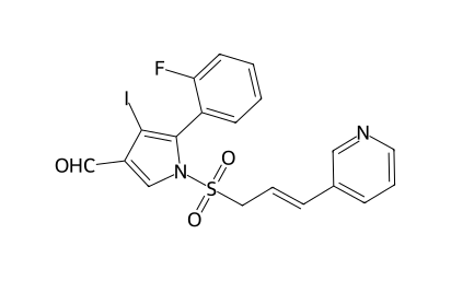 O=Cc1cn(S(=O)(=O)CC=Cc2cccnc2)c(-c2ccccc2F)c1I